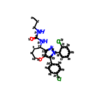 CCCNC(=O)NC1CCCOc2c1nn(-c1ccccc1Cl)c2-c1ccc(Cl)cc1